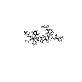 CC(C)[C@H](NC(=O)[C@H](CCCNC(=N)N)NC(=O)[C@H](C)NC(=O)[C@H](Cc1ccccc1)NC(=O)[C@@H]1CCCN1C(=O)[C@@H](N)CCCCN)C(=O)NCC(=O)O